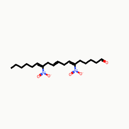 CCCCC/C=C(/C/C=C/C/C=C(/CCCC[C]=O)[N+](=O)[O-])[N+](=O)[O-]